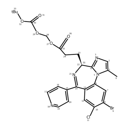 Cc1cnc2n1-c1cc(Br)c(Cl)cc1C(c1ccncc1)=N[C@H]2CCC(=O)OCOC(=O)OC(C)(C)C